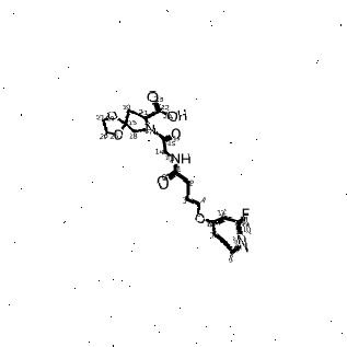 O=C(CCCOc1ccnc(F)c1)NCC(=O)N1CC2(CC1C(=O)O)OCCO2